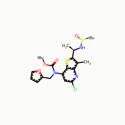 Cc1c([C@@H](C)N[S+]([O-])C(C)(C)C)sc2c(N(Cc3ccco3)C(=O)OC(C)(C)C)cc(Cl)nc12